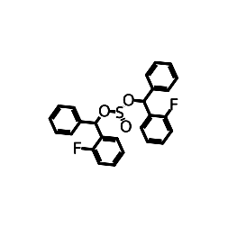 O=S(OC(c1ccccc1)c1ccccc1F)OC(c1ccccc1)c1ccccc1F